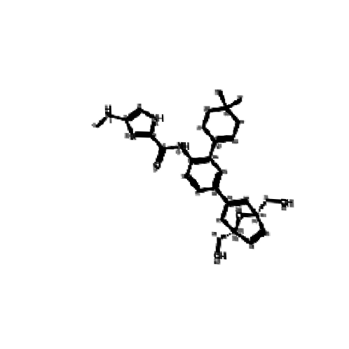 CNc1c[nH]c(C(=O)Nc2ccc(C3=C[C@@]4(CO)C=C[C@@](CO)(C3)O4)cc2C2=CCC(C)(C)CC2)n1